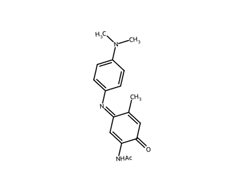 CC(=O)NC1=CC(=Nc2ccc(N(C)C)cc2)C(C)=CC1=O